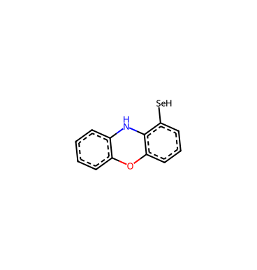 [SeH]c1cccc2c1Nc1ccccc1O2